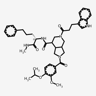 CNC(=O)[C@H](CCCc1ccccc1)NC(=O)C1CN(C(=O)CCc2c[nH]c3ccccc23)CC2CN(C(=O)c3ccc(OC(C)C)c(OC)c3)CC21